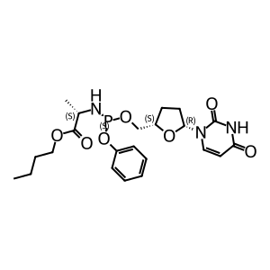 CCCCOC(=O)[C@H](C)N[P@](OC[C@@H]1CC[C@H](n2ccc(=O)[nH]c2=O)O1)Oc1ccccc1